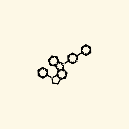 c1ccc(-c2ccc(-n3c4ccccc4c4c5c(ccc43)CCN5c3ccccc3)cn2)cc1